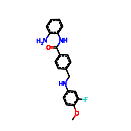 COc1ccc(NCc2ccc(C(=O)Nc3ccccc3N)cc2)cc1F